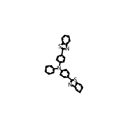 c1ccc(N(c2ccc(-c3nc4ccccc4s3)cc2)c2ccc(-c3nc4ccccc4s3)cc2)cc1